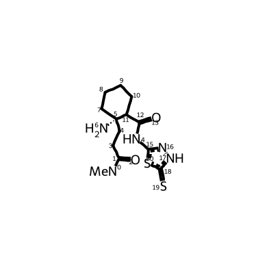 CNC(=O)CC[C@@]1(N)CCCCC1C(=O)Nc1n[nH]c(=S)s1